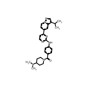 CC(C)c1cnn2ccc(-c3ccnc(Nc4ccc(C(=O)N5CCC(N(C)C)CC5)cc4)n3)cc12